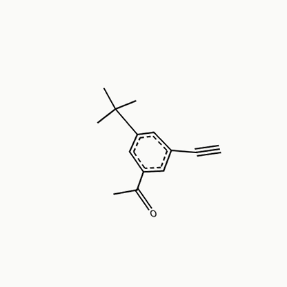 C#Cc1cc(C(C)=O)cc(C(C)(C)C)c1